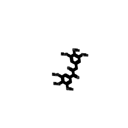 COc1cc(CC(=O)C(=O)c2cc(OC)c(OC)c(OC)c2)cc(OC)c1OC